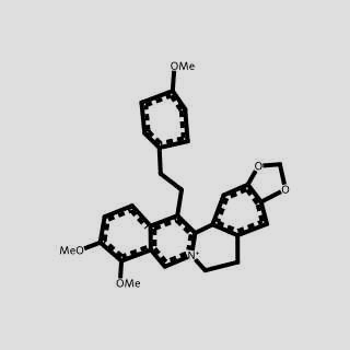 COc1ccc(CCc2c3[n+](cc4c(OC)c(OC)ccc24)CCc2cc4c(cc2-3)OCO4)cc1